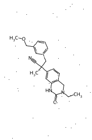 CCN1Cc2ccc(C(C)(C#N)Cc3cccc(COC)c3)cc2NC1=O